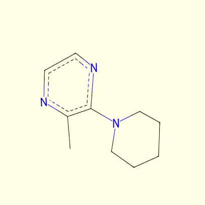 Cc1nccnc1N1CCCCC1